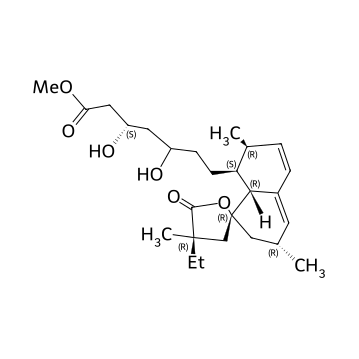 CC[C@]1(C)C[C@@]2(C[C@@H](C)C=C3C=C[C@H](C)[C@H](CCC(O)C[C@H](O)CC(=O)OC)[C@H]32)OC1=O